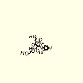 Cn1c(Nc2ccc(I)cc2F)c(C(=O)NOCCO)c(=O)n(CCO)c1=O